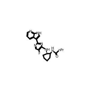 CCCC(=O)NC1CCCC[C@H]1Nc1nc(-c2c[nH]c3ncccc23)ncc1F